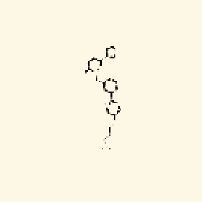 CN(C)CCCOc1cnc(-c2cccc(Cn3nc(-c4ccoc4)ccc3=O)c2)nc1